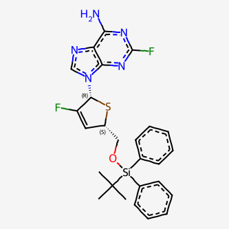 CC(C)(C)[Si](OC[C@@H]1C=C(F)[C@H](n2cnc3c(N)nc(F)nc32)S1)(c1ccccc1)c1ccccc1